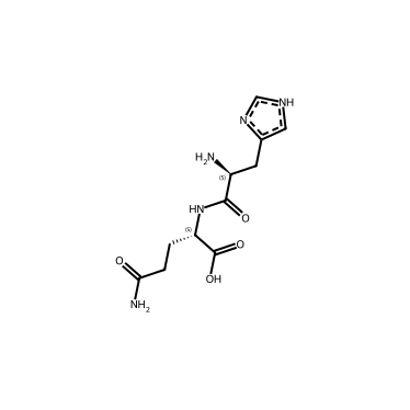 NC(=O)CC[C@H](NC(=O)[C@@H](N)Cc1c[nH]cn1)C(=O)O